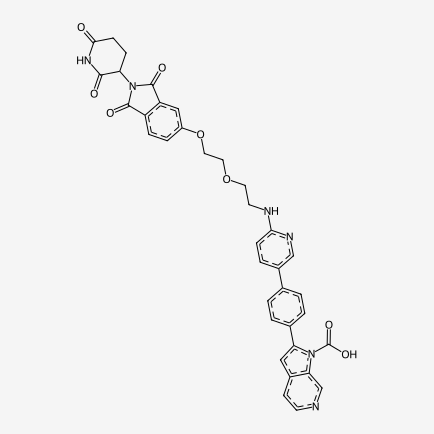 O=C1CCC(N2C(=O)c3ccc(OCCOCCNc4ccc(-c5ccc(-c6cc7ccncc7n6C(=O)O)cc5)cn4)cc3C2=O)C(=O)N1